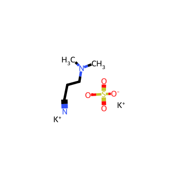 CN(C)CCC#N.O=S(=O)([O-])[O-].[K+].[K+]